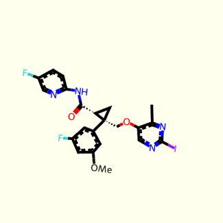 COc1cc(F)cc([C@]2(COc3cnc(I)nc3C)C[C@H]2C(=O)Nc2ccc(F)cn2)c1